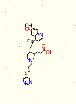 COc1ccc2nccc([C@@H](F)CCC3CCN(CCCSc4cncnc4)CC3CCC(=O)O)c2c1